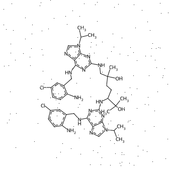 CC(C)n1cnc2c(NCc3cc(Cl)ccc3N)nc(NCC(C)(O)CCC(Nc3nc(NCc4cc(Cl)ccc4N)c4ncn(C(C)C)c4n3)C(C)(C)O)nc21